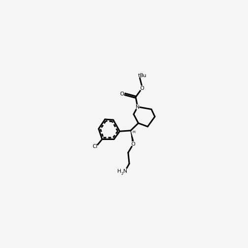 CC(C)(C)OC(=O)N1CCCC([C@@H](OCCN)c2cccc(Cl)c2)C1